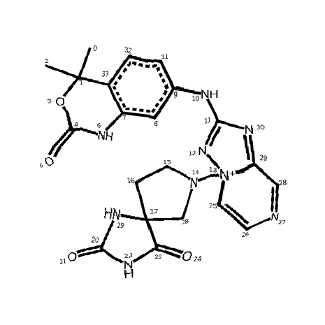 CC1(C)OC(=O)Nc2cc(NC3=N[N+]4(N5CCC6(C5)NC(=O)NC6=O)C=CN=CC4=N3)ccc21